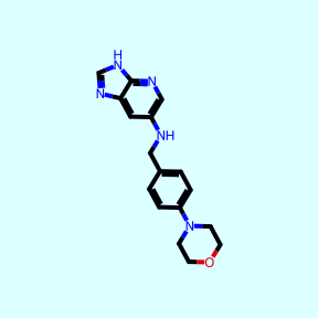 c1nc2cc(NCc3ccc(N4CCOCC4)cc3)cnc2[nH]1